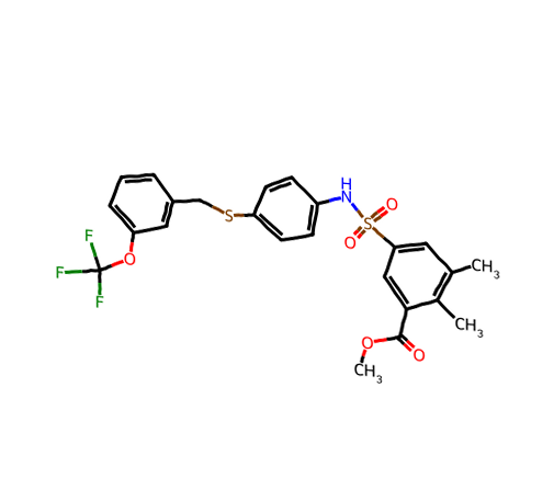 COC(=O)c1cc(S(=O)(=O)Nc2ccc(SCc3cccc(OC(F)(F)F)c3)cc2)cc(C)c1C